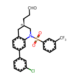 O=CCC[C@@H]1Cc2ccc(-c3cccc(Cl)c3)cc2N(S(=O)(=O)c2cccc(C(F)(F)F)c2)C1